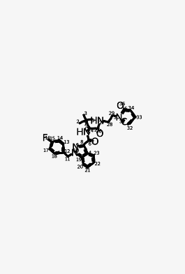 CC(C)(C)[C@H](NC(=O)c1nn(Cc2ccc(F)cc2)c2ccccc12)C(=O)NCCn1ccccc1=O